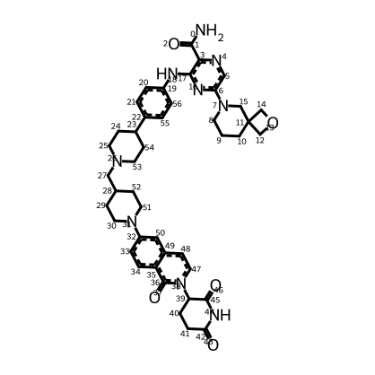 NC(=O)c1ncc(N2CCCC3(COC3)C2)nc1Nc1ccc(C2CCN(CC3CCN(c4ccc5c(=O)n(C6CCC(=O)NC6=O)ccc5c4)CC3)CC2)cc1